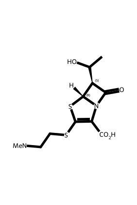 CNCCSC1=C(C(=O)O)N2C(=O)[C@H](C(C)O)[C@H]2S1